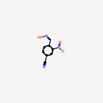 N#Cc1ccc(/C=N\O)c([N+](=O)[O-])c1